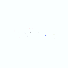 O=C(O)C=CC(=O)OCCN1CCSCC1